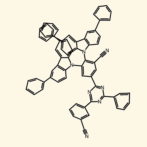 N#Cc1cccc(-c2nc(-c3ccccc3)nc(-c3cc(C#N)c(-n4c5ccc(-c6ccccc6)cc5c5cc(-c6ccccc6)ccc54)c(-n4c5ccc(-c6ccccc6)cc5c5cc(-c6ccccc6)ccc54)c3)n2)c1